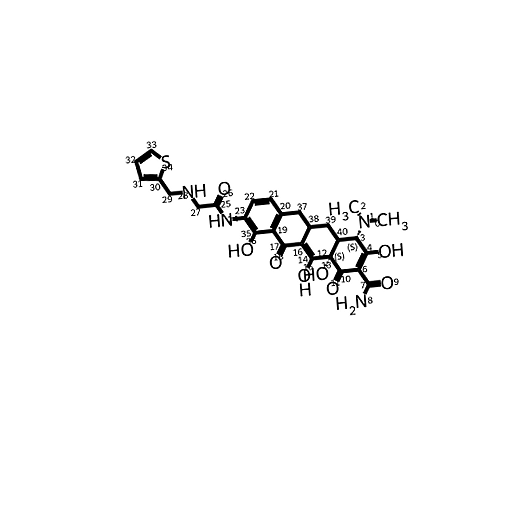 CN(C)[C@@H]1C(O)=C(C(N)=O)C(=O)[C@@]2(O)C(O)=C3C(=O)c4c(ccc(NC(=O)CNCc5cccs5)c4O)CC3CC12